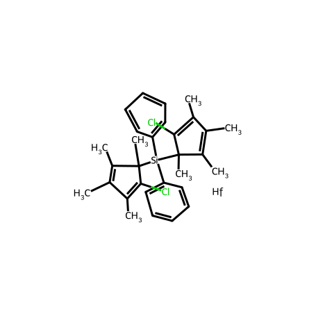 CC1=C(C)C(C)([Si](c2ccccc2)(c2ccccc2)C2(C)C(C)=C(C)C(C)=C2Cl)C(Cl)=C1C.[Hf]